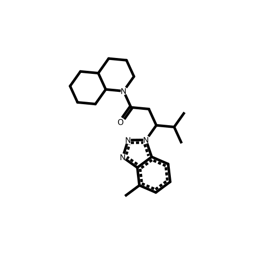 Cc1cccc2c1nnn2C(CC(=O)N1CCCC2CCCCC21)C(C)C